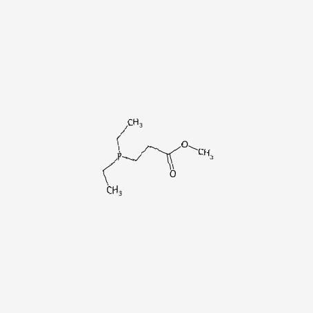 CCP(CC)CCC(=O)OC